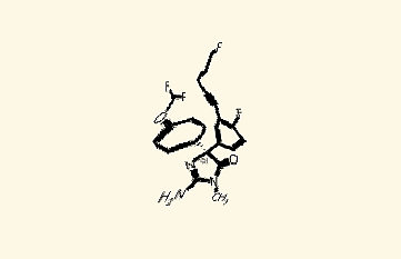 CN1C(=O)[C@](c2ccc(OC(F)F)cc2)(c2ccc(F)c(C#CCCCF)c2)N=C1N